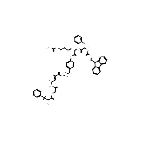 CN[C@H](C(=O)N[C@H](C(=O)N(C)[C@H](/C=C(\C)C(=O)NS(=O)(=O)Cc1ccc(NC(=O)[C@H](CCCCNC(=O)OC(C)(C)C)NC(=O)[C@H](Cc2ccccc2)NC(=O)OCC2c3ccccc3-c3ccccc32)cc1)C(C)C)C(C)(C)C)C(C)(C)c1ccccc1